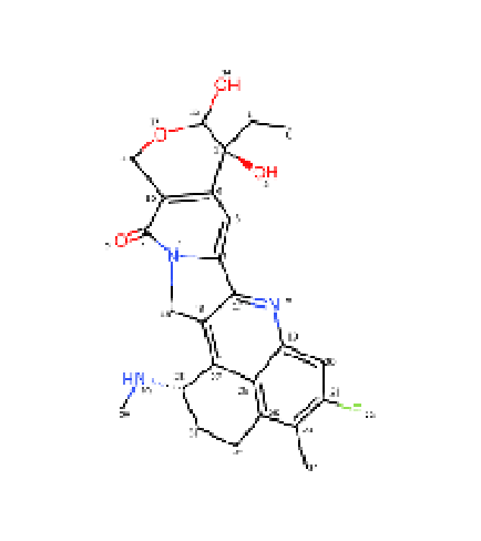 CC[C@]1(O)c2cc3n(c(=O)c2COC1O)Cc1c-3nc2cc(F)c(C)c3c2c1[C@@H](NC)CC3